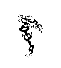 CCc1ccc(C#Cc2cnc(-c3ccc(C[C@H](NC(=O)c4ccc(C(C)(C)C)s4)C(=O)N[C@H](C)C(=O)O)cc3)nc2)cc1